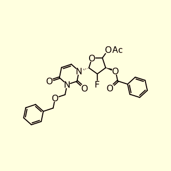 CC(=O)OC1O[C@@H](n2ccc(=O)n(COCc3ccccc3)c2=O)C(F)[C@@H]1OC(=O)c1ccccc1